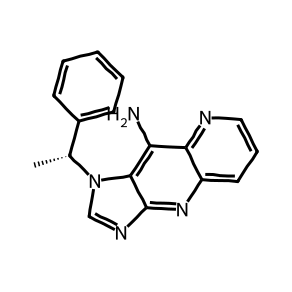 C[C@H](c1ccccc1)n1cnc2nc3cccnc3c(N)c21